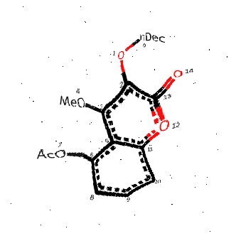 CCCCCCCCCCOc1c(OC)c2c(OC(C)=O)cccc2oc1=O